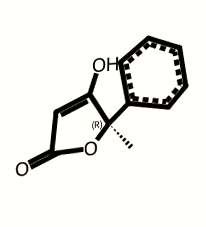 C[C@]1(c2ccccc2)OC(=O)C=C1O